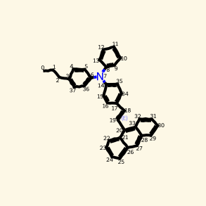 CCCc1ccc(N(c2ccccc2)c2ccc(/C=C/c3c4ccccc4cc4ccccc34)cc2)cc1